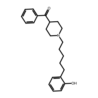 O=C(c1ccccc1)C1CCN(CCCCCc2ccccc2O)CC1